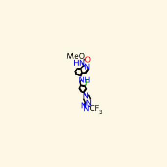 COC(=O)Nc1nccc2c(NCc3ccc(N4CCn5c(nnc5C(F)(F)F)C4)cc3F)cccc12